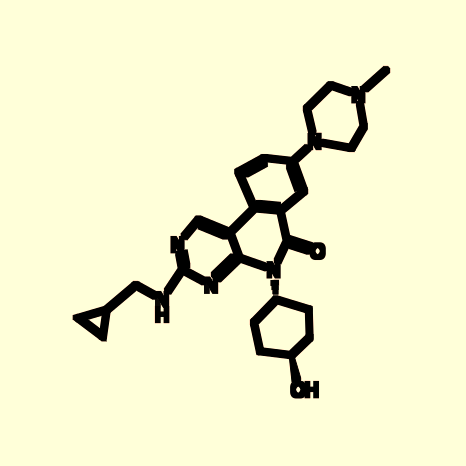 CN1CCN(c2ccc3c(c2)c(=O)n([C@H]2CC[C@H](O)CC2)c2nc(NCC4CC4)ncc32)CC1